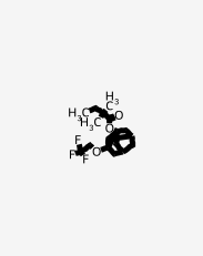 CCC(C)(C)C(=O)OC12CC3CC(CC(OCC(F)(F)F)(C3)C1)C2